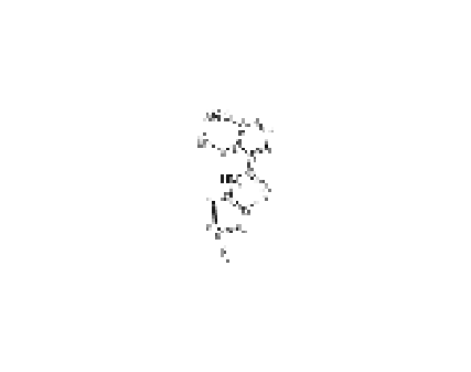 COc1cccc(C(=O)Nc2ccc(F)cc2F)c1CBr